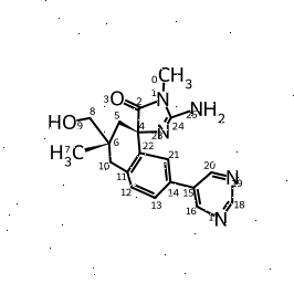 CN1C(=O)[C@]2(C[C@@](C)(CO)Cc3ccc(-c4cncnc4)cc32)N=C1N